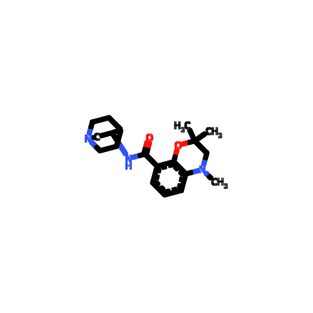 CN1CC(C)(C)Oc2c(C(=O)NC3CN4CCC3CC4)cccc21